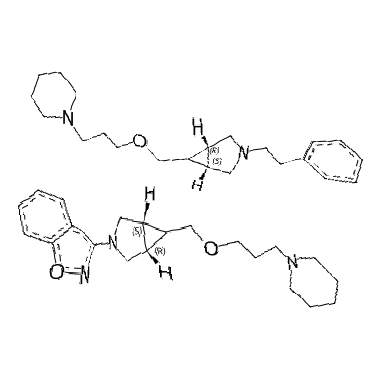 c1ccc(CCN2C[C@@H]3C(COCCCN4CCCCC4)[C@@H]3C2)cc1.c1ccc2c(N3C[C@@H]4C(COCCCN5CCCCC5)[C@@H]4C3)noc2c1